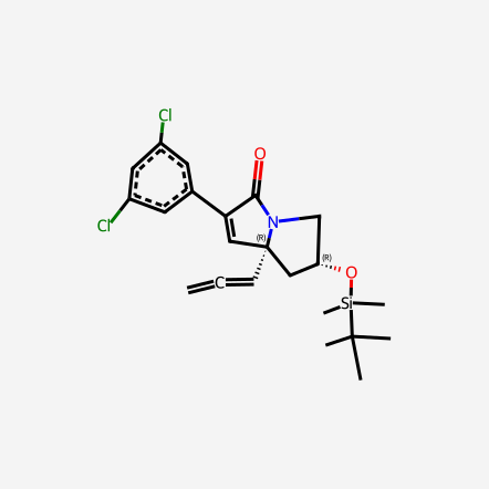 C=C=C[C@]12C=C(c3cc(Cl)cc(Cl)c3)C(=O)N1C[C@H](O[Si](C)(C)C(C)(C)C)C2